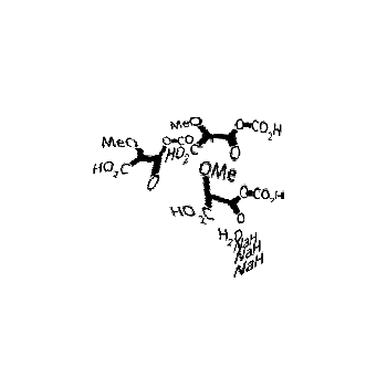 COC(C(=O)O)C(=O)OC(=O)O.COC(C(=O)O)C(=O)OC(=O)O.COC(C(=O)O)C(=O)OC(=O)O.O.[NaH].[NaH].[NaH]